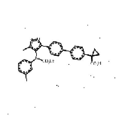 CCOC(=O)N(c1cccc(C)c1)c1c(C)noc1-c1ccc(-c2ccc(C3(C(=O)O)CC3)cc2)cc1